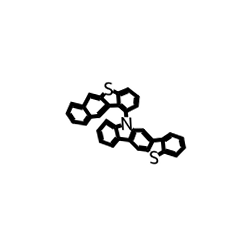 c1ccc2cc3c(cc2c1)sc1cccc(-n2c4ccccc4c4cc5sc6ccccc6c5cc42)c13